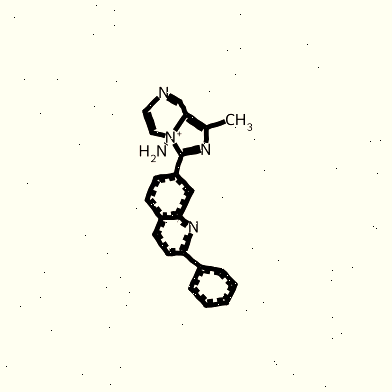 CC1=C2C=NC=C[N+]2(N)C(c2ccc3ccc(-c4ccccc4)nc3c2)=N1